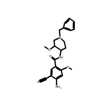 COc1cc(N)c(C#N)cc1C(=O)NC1CCN(Cc2ccccc2)CC1OC